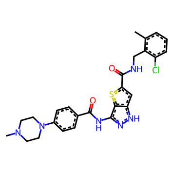 Cc1cccc(Cl)c1CNC(=O)c1cc2[nH]nc(NC(=O)c3ccc(N4CCN(C)CC4)cc3)c2s1